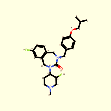 CC(C)COc1ccc(CN2Cc3ccc(F)cc3CN(C3CCN(C)CC3F)C2=O)cc1